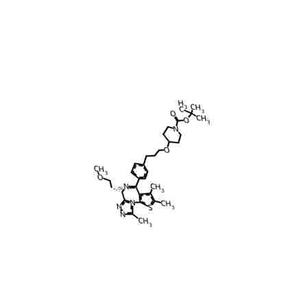 COCC[C@@H]1N=C(c2ccc(CCCOC3CCN(C(=O)OC(C)(C)C)CC3)cc2)c2c(sc(C)c2C)-n2c(C)nnc21